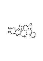 COC(=O)C(CO)/N=C1/CN=C(c2ccccc2F)c2cc(Cl)cc(F)c2N1